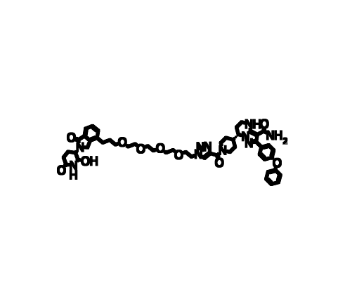 NC(=O)c1c(-c2ccc(Oc3ccccc3)cc2)nn2c1NCC[C@H]2C1CCN(C(=O)c2cn(CCOCCOCCOCCOCCCc3cccc4c3CN(C3CCC(=O)NC3O)C4=O)nn2)CC1